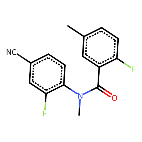 Cc1ccc(F)c(C(=O)N(C)c2ccc(C#N)cc2F)c1